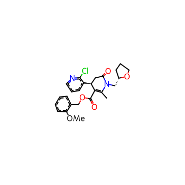 COc1ccccc1COC(=O)C1=C(C)N(C[C@@H]2CCCO2)C(=O)C[C@@H]1c1cccnc1Cl